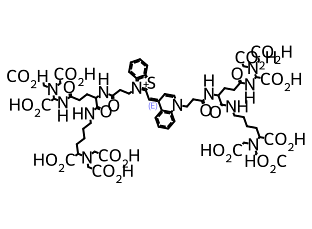 O=C(O)CN(CC(=O)O)C(CCCCNC(=O)C(CCC(=O)NC(C(=O)O)N(CC(=O)O)CC(=O)O)NC(=O)CCN1C=C/C(=C\c2sc3ccccc3[n+]2CCC(=O)NC(CCC(=O)NC(C(=O)O)N(CC(=O)O)CC(=O)O)C(=O)NCCCCC(C(=O)O)N(CC(=O)O)CC(=O)O)c2ccccc21)C(=O)O